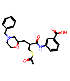 CC(=O)SCC(CC1CN(Cc2ccccc2)CCO1)C(=O)Nc1cccc(C(=O)O)c1